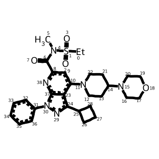 CCS(=O)(=O)N(C)C(=O)c1cc(N2CCC(N3CCOCC3)CC2)c2c(C3CCC3)nn(-c3ccccc3)c2n1